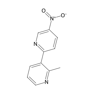 Cc1ncccc1-c1ccc([N+](=O)[O-])cn1